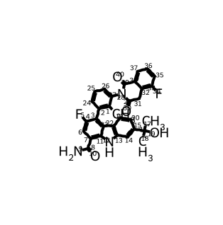 Cc1c(-c2c(F)cc(C(N)=O)c3[nH]c4cc(C(C)(C)O)ccc4c23)cccc1N1C(=O)Cc2c(F)cccc2C1=O